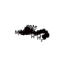 C=C/C=C/C=C(\C)[C@H](C[C@@H]1CC[C@@H](C)[C@](O)(C(=O)C(=O)N2CCCC[C@H]2C(=O)O[C@@H](C[C@@H](O)[C@H](C)/C=C(\C)[C@@H](O)[C@@H](OC)/C(=N/OCC(=O)NCCOCCC(=O)N2CCc3nc(N4CCN(c5ncc(C(=O)N6CCc7cc(Cn8nc(-c9ccc%10oc(N)nc%10c9)c9c(N)ncnc98)ccc7C6)cn5)CC4)ncc3C2)[C@H](C)CC(C)C)[C@H](N)C[C@@H]2CC[C@@H](O)[C@H](OC)C2)O1)OC